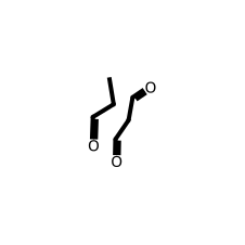 CCC=O.O=CCC=O